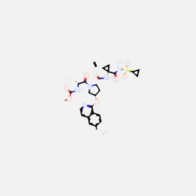 C=C[C@@H]1C[C@]1(NC(=O)[C@@H]1C[C@@H](Oc2nccc3cc(OC)ccc23)CN1C(=O)[C@@H](NC(=O)OC(C)C)C(C)(C)C)C(=O)NS(=O)(=O)C1CC1